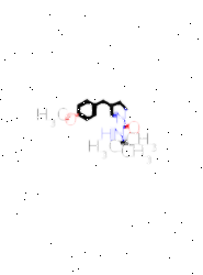 COc1ccc(CC2CCN(C(=O)NC(C)(C)C)C2)cc1